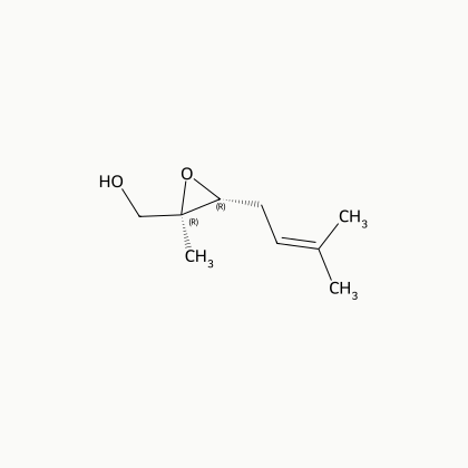 CC(C)=CC[C@H]1O[C@]1(C)CO